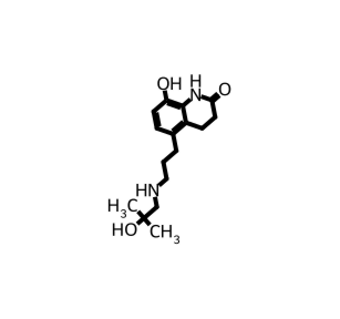 CC(C)(O)CNCCCc1ccc(O)c2c1CCC(=O)N2